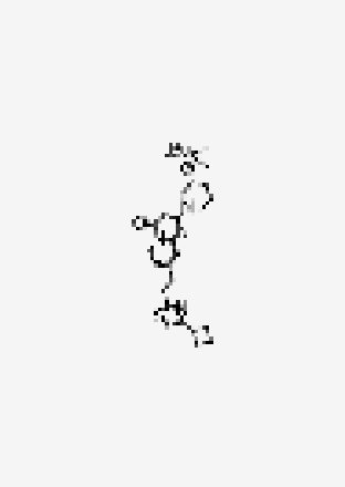 CC(C)(C)[Si](C)(C)OC1CCCN(c2cc(=O)n3ccc(CCc4nc(C5CCC5)cs4)cc3n2)C1